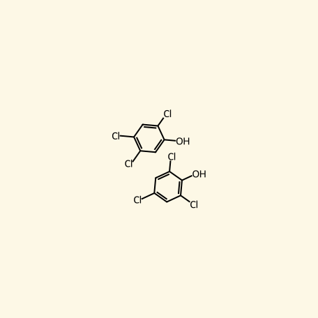 Oc1c(Cl)cc(Cl)cc1Cl.Oc1cc(Cl)c(Cl)cc1Cl